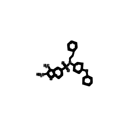 Cc1c(C(=O)O)oc2ccc(S(=O)(=O)N(CCc3ccccc3)c3ccc(Oc4ccccc4)cc3)cc12